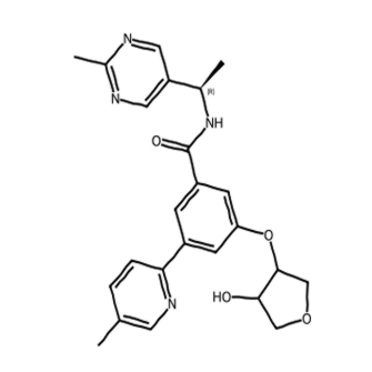 Cc1ccc(-c2cc(OC3COCC3O)cc(C(=O)N[C@H](C)c3cnc(C)nc3)c2)nc1